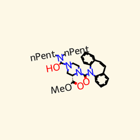 CCCCCN(CCCCC)C(O)N1CCN(C(=O)N2c3ccccc3C=Cc3ccccc32)[C@H](C(=O)OC)C1